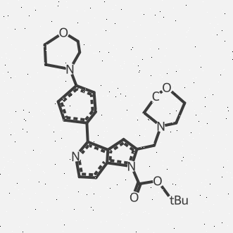 CC(C)(C)OC(=O)n1c(CN2CCOCC2)cc2c(-c3ccc(N4CCOCC4)cc3)nccc21